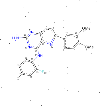 COc1ccc(-c2ccc3nc(N)nc(Nc4ccc(C)cc4F)c3n2)cc1OC